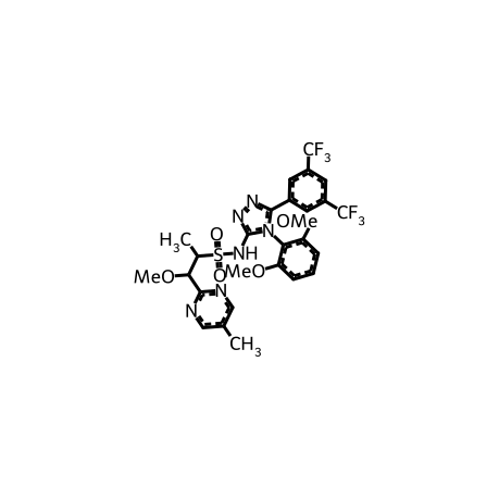 COc1cccc(OC)c1-n1c(NS(=O)(=O)C(C)C(OC)c2ncc(C)cn2)nnc1-c1cc(C(F)(F)F)cc(C(F)(F)F)c1